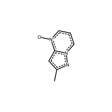 Cc1cc2n(ccc[n+]2[O-])n1